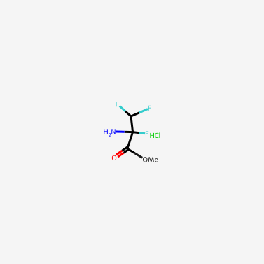 COC(=O)C(N)(F)C(F)F.Cl